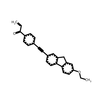 C=CC(=O)c1ccc(C#Cc2ccc3c(c2)Cc2cc(OCC)ccc2-3)cc1